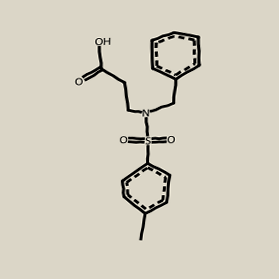 Cc1ccc(S(=O)(=O)N(CCC(=O)O)Cc2ccccc2)cc1